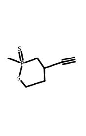 C#CC1CCSP(C)(=S)C1